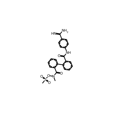 CN(OS(C)(=O)=O)C(=O)c1ccccc1-c1ccccc1C(=O)Nc1ccc(C(=N)N)cc1